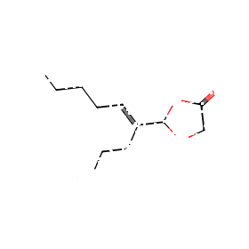 CCCC/C=C(\CCC)C1OCC(=O)O1